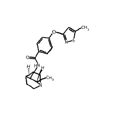 Cc1cc(Oc2ccc(C(=O)N[C@@H]3C4CCN(CC4)[C@H]3C)cc2)ns1